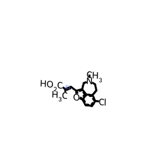 C/C(=C\c1oc2ccc(Cl)c3c2c1CN(C)CC3)C(=O)O